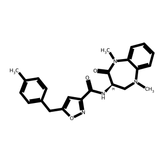 Cc1ccc(Cc2cc(C(=O)N[C@@H]3CN(C)c4ccccc4N(C)C3=O)no2)cc1